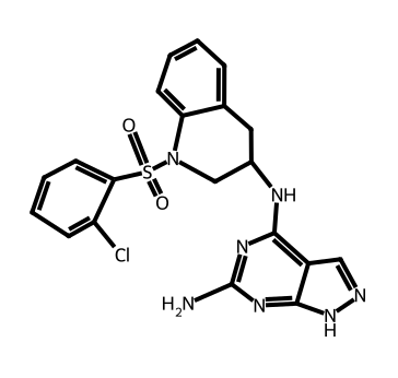 Nc1nc(NC2Cc3ccccc3N(S(=O)(=O)c3ccccc3Cl)C2)c2cn[nH]c2n1